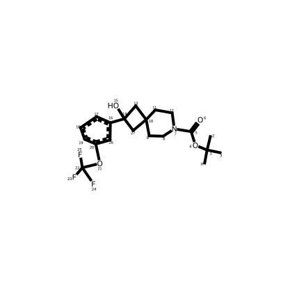 CC(C)(C)OC(=O)N1CCC2(CC1)CC(O)(c1cccc(OC(F)(F)F)c1)C2